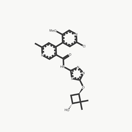 COc1cnc(Cl)cc1-c1cc(C)ncc1C(=O)Nc1nnc(O[C@@H]2C[C@@H](O)C2(C)C)s1